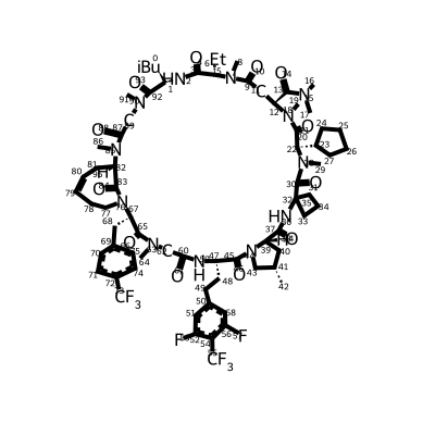 CC[C@H](C)[C@@H]1NC(=O)[C@H](CC)N(C)C(=O)C[C@@H](C(=O)N(C)C)N(C)C(=O)[C@H](C2CCCC2)N(C)C(=O)C2(CCC2)NC(=O)[C@@H]2C[C@H](C)CN2C(=O)[C@H](CCc2cc(F)c(C(F)(F)F)c(F)c2)NC(=O)CN(C)C(=O)[C@H](Cc2ccc(C(F)(F)F)cc2)N2CC/C=C\C[C@@H](C2=O)N(C)C(=O)CN(C)C1=O